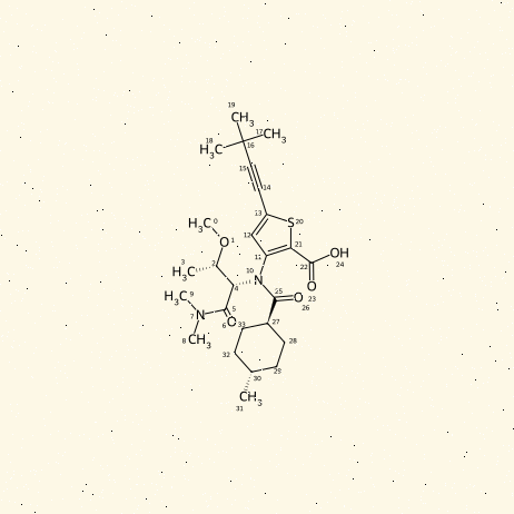 CO[C@@H](C)[C@@H](C(=O)N(C)C)N(c1cc(C#CC(C)(C)C)sc1C(=O)O)C(=O)[C@H]1CC[C@H](C)CC1